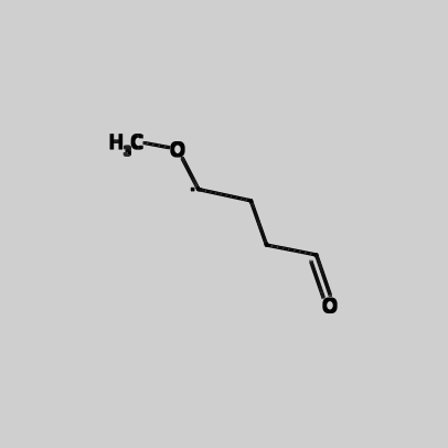 CO[CH]CCC=O